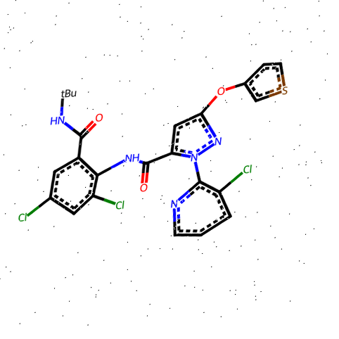 CC(C)(C)NC(=O)c1cc(Cl)cc(Cl)c1NC(=O)c1cc(Oc2ccsc2)nn1-c1ncccc1Cl